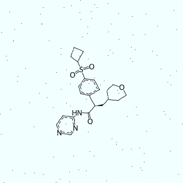 O=C(Nc1ccncn1)[C@H](CC1CCOCC1)c1ccc(S(=O)(=O)C2CCC2)cc1